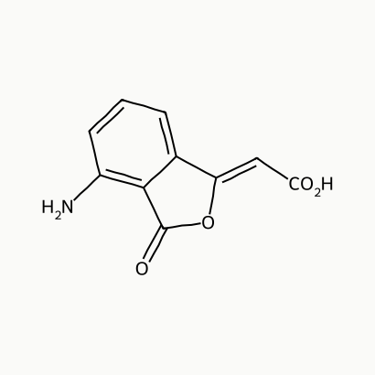 Nc1cccc2c1C(=O)OC2=CC(=O)O